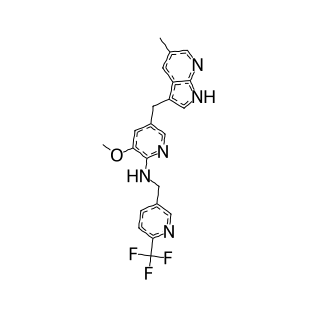 COc1cc(Cc2c[nH]c3ncc(C)cc23)cnc1NCc1ccc(C(F)(F)F)nc1